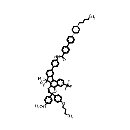 CCCCC[C@H]1CC[C@H](c2ccc(-c3ccc(C(=O)Nc4ccc(-c5ccc6c(c5)-c5c(c7c(c8cc(C(F)(F)F)ccc58)OC(c5ccc(OC)cc5)(c5ccc(OCCCC)cc5)C=C7)C6(C)C)cc4)cc3)cc2)CC1